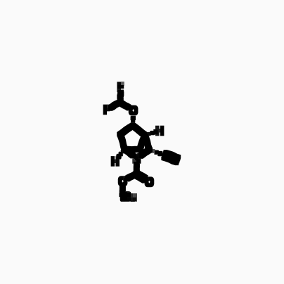 C#C[C@H]1[C@H]2C[C@H](C[C@@H]2OC(F)F)N1C(=O)OC(C)(C)C